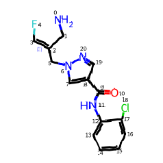 NC/C(=C\F)Cn1cc(C(=O)Nc2ccccc2Cl)cn1